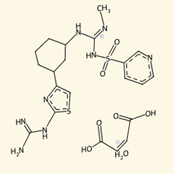 C/N=C(\NC1CCCC(c2csc(NC(=N)N)n2)C1)NS(=O)(=O)c1cccnc1.O.O=C(O)/C=C\C(=O)O